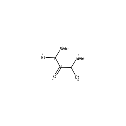 CCC(SC)C(=O)C(CC)SC